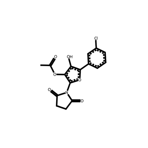 CC(=O)Oc1c(N2C(=O)CCC2=O)oc(-c2cccc(Cl)c2)c1O